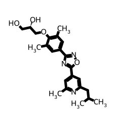 Cc1cc(-c2nc(-c3cc(C)c(OC[C@@H](O)CO)c(C)c3)no2)cc(CC(C)C)n1